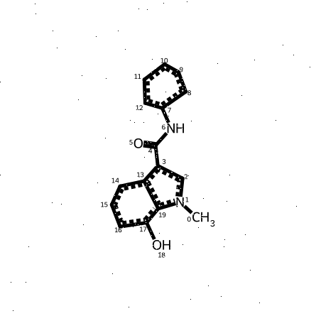 Cn1cc(C(=O)Nc2ccccc2)c2cccc(O)c21